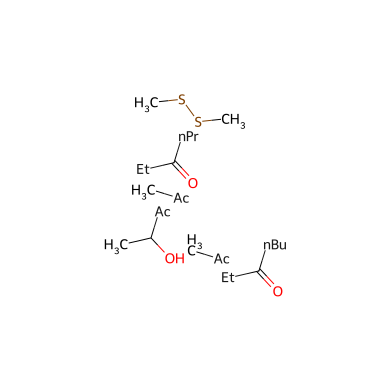 CC(=O)C(C)O.CC(C)=O.CC(C)=O.CCCC(=O)CC.CCCCC(=O)CC.CSSC